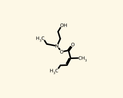 CCC=C(C)C(=O)ON(CC)CCO